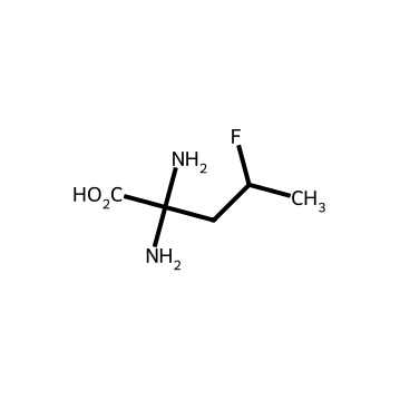 CC(F)CC(N)(N)C(=O)O